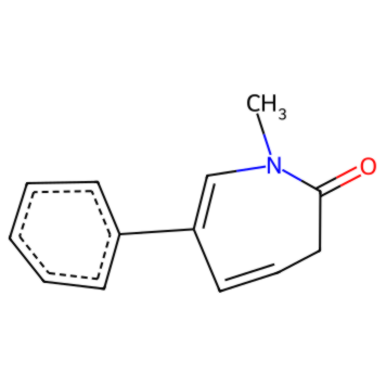 CN1C=C(c2ccccc2)C=CCC1=O